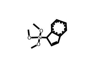 CO[Si](OC)(OC)C1C=Cc2ccccc21